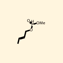 C/C=C/CO[PH](=O)OC